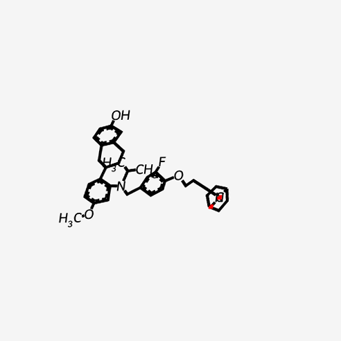 COc1ccc(C2CCc3cc(O)ccc3C2)c(N(Cc2ccc(OCCN3CC4CCC(CC4)C3)c(F)c2)C(C)C)c1